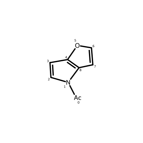 CC(=O)n1ccc2occc21